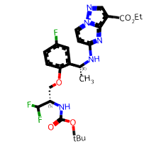 CCOC(=O)c1cnn2ccc(N[C@H](C)c3cc(F)ccc3OC[C@H](NC(=O)OC(C)(C)C)C(F)F)nc12